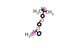 CO/N=C(/COc1ccc(COc2ccc(-c3c(C)noc3C)cc2)cc1)c1ccccc1